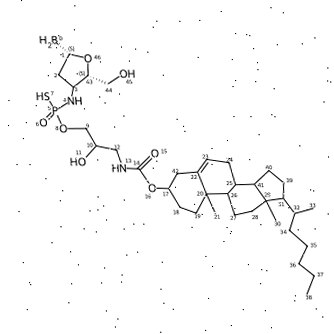 B[C@H]1CC(NP(=O)(S)OCC(O)CNC(=O)OC2CCC3(C)C(=CCC4C3CCC3(C)C(C(C)CCCCC)CCC43)C2)[C@@H](CO)O1